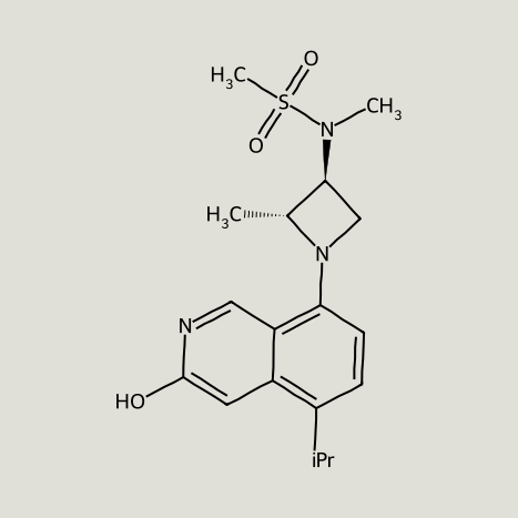 CC(C)c1ccc(N2C[C@H](N(C)S(C)(=O)=O)[C@H]2C)c2cnc(O)cc12